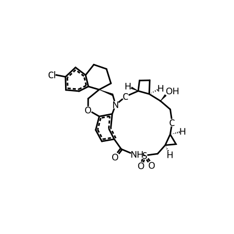 O=C1NS(=O)(=O)C[C@@H]2C[C@@H]2CC[C@H](O)[C@@H]2CC[C@H]2CN2C[C@@]3(CCCc4cc(Cl)ccc43)COc3ccc1cc32